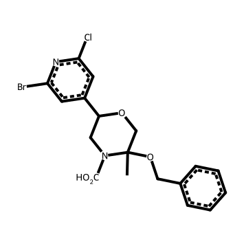 CC1(OCc2ccccc2)COC(c2cc(Cl)nc(Br)c2)CN1C(=O)O